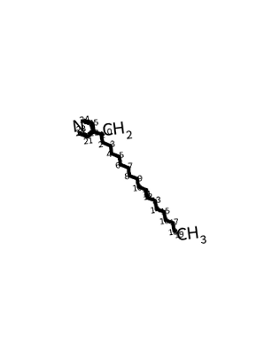 C=C(CCCCCCCCCCCCCCCCCC)c1ccncc1